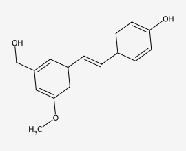 COC1=CC(CO)=CC(/C=C/C2C=CC(O)=CC2)C1